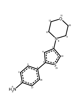 Nc1ccc(-c2cc(N3CCOCC3)cs2)cc1